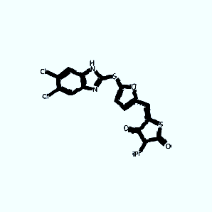 CC(C)C1C(=O)SC(=Cc2ccc(Sc3nc4cc(Cl)c(Cl)cc4[nH]3)o2)C1=O